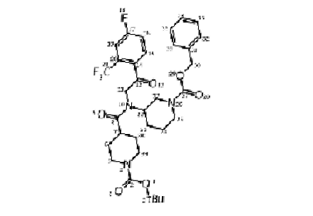 CC(C)(C)OC(=O)N1CCC(C(=O)N(CC(=O)c2ccc(F)cc2C(F)(F)F)C2CCCN(C(=O)OCc3ccccc3)C2)CC1